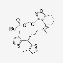 Cc1ccsc1C(=CCCN(C)[C@@H]1CCCc2onc(OCOC(=O)C(C)(C)C)c21)c1sccc1C